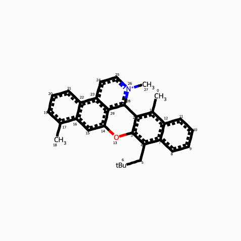 Cc1c2c(c(CC(C)(C)C)c3ccccc13)Oc1cc3c(C)cccc3c3cc[n+](C)c-2c13